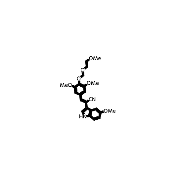 COCCOCOc1c(OC)cc(/C=C(\C#N)c2c[nH]c3ccc(OC)cc23)cc1OC